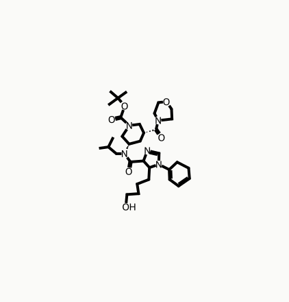 CC(C)CN(C(=O)C1N=CN(C2=CC=CCC2)C1CCCCO)[C@H]1C[C@@H](C(=O)N2CCOCC2)CN(C(=O)OC(C)(C)C)C1